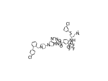 CN(C)CC[C@H](CSc1cccc(Cl)c1)Nc1ccc(S(=O)(=O)Nc2ncnc3c2CCN(C2CCN(Cc4ccccc4-c4ccc(Cl)cc4)CC2)C3)cc1S(=O)(=O)C(F)(F)F